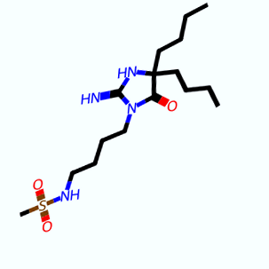 CCCCC1(CCCC)NC(=N)N(CCCCNS(C)(=O)=O)C1=O